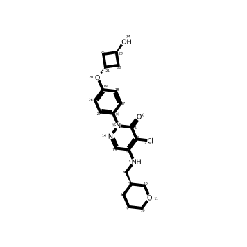 O=c1c(Cl)c(NC[C@@H]2CCCOC2)cnn1-c1ccc(O[C@H]2C[C@H](O)C2)cc1